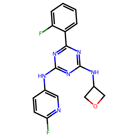 Fc1ccc(Nc2nc(NC3COC3)nc(-c3ccccc3F)n2)cn1